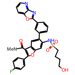 CNC(=O)c1c(-c2ccc(F)cc2)oc2cc(NS(=O)(=O)CCCCO)c(-c3cccc(-c4nc5ncccc5o4)c3)cc12